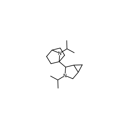 CC(C)N1CC2CC2C1C12CCC(CC1)N2C(C)C